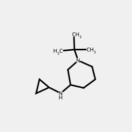 CC(C)(C)N1CCCC(NC2CC2)C1